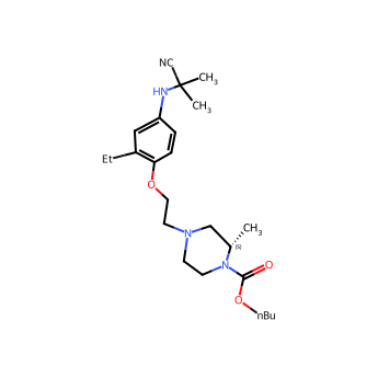 CCCCOC(=O)N1CCN(CCOc2ccc(NC(C)(C)C#N)cc2CC)C[C@@H]1C